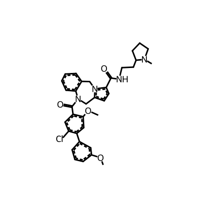 COc1cccc(-c2cc(OC)c(C(=O)N3Cc4ccc(C(=O)NCCC5CCCN5C)n4Cc4ccccc43)cc2Cl)c1